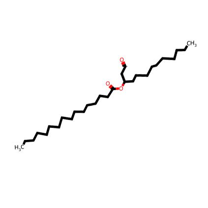 CCCCCCCCCCCCCCCC(=O)OC(C[C]=O)CCCCCCCCCC